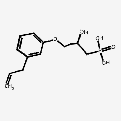 C=CCc1cccc(OCC(O)[CH]P(=O)(O)O)c1